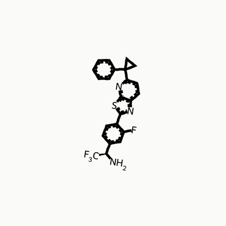 N[C@H](c1ccc(-c2nc3ccc(C4(c5ccccc5)CC4)nc3s2)c(F)c1)C(F)(F)F